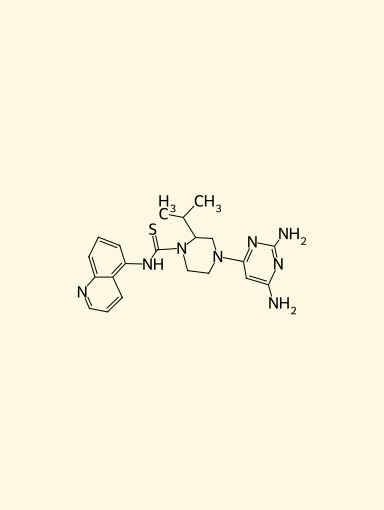 CC(C)C1CN(c2cc(N)nc(N)n2)CCN1C(=S)Nc1cccc2ncccc12